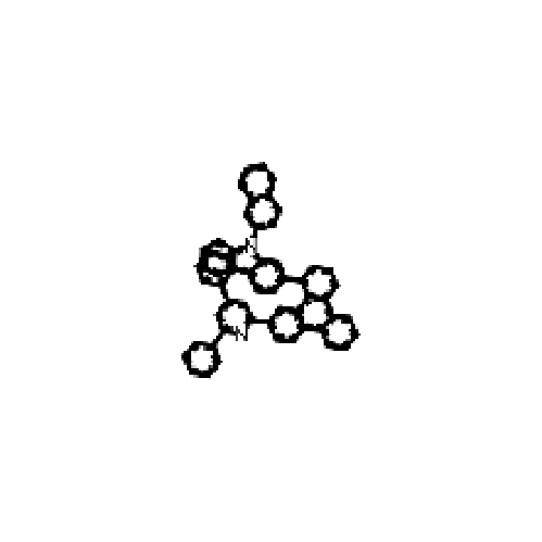 c1ccc(-c2cc(-c3ccccc3)nc(-c3ccc4c5ccccc5c5cccc(-c6ccc7c8ccccc8n(-c8ccc9ccccc9c8)c7c6)c5c4c3)c2)cc1